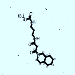 CC(C)(C)OC(=O)NCCCNC(=O)CC(=O)N1CCC2CCCCC2C1